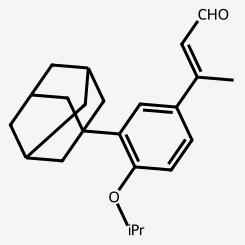 CC(=CC=O)c1ccc(OC(C)C)c(C23CC4CC(CC(C4)C2)C3)c1